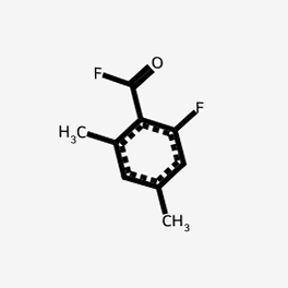 Cc1cc(C)c(C(=O)F)c(F)c1